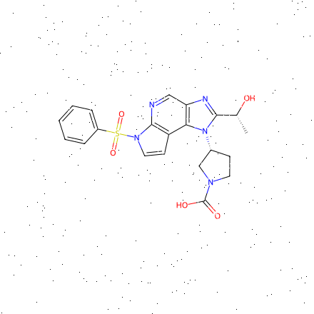 C[C@@H](O)c1nc2cnc3c(ccn3S(=O)(=O)c3ccccc3)c2n1[C@@H]1CCN(C(=O)O)C1